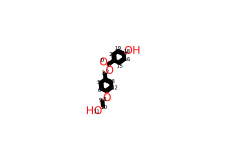 O=C(OCc1ccc(OCCO)cc1)c1ccc(O)cc1